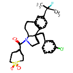 CC(F)(c1ccc2c(c1)CCC1N(C(=O)C3CCS(=O)(=O)CC3)CCC21Cc1cccc(Cl)c1)C(F)(F)F